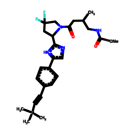 COC(=O)NCC(C)CC(=O)N1CC(F)(F)CC1c1ncc(-c2ccc(C#C[Si](C)(C)C)cc2)[nH]1